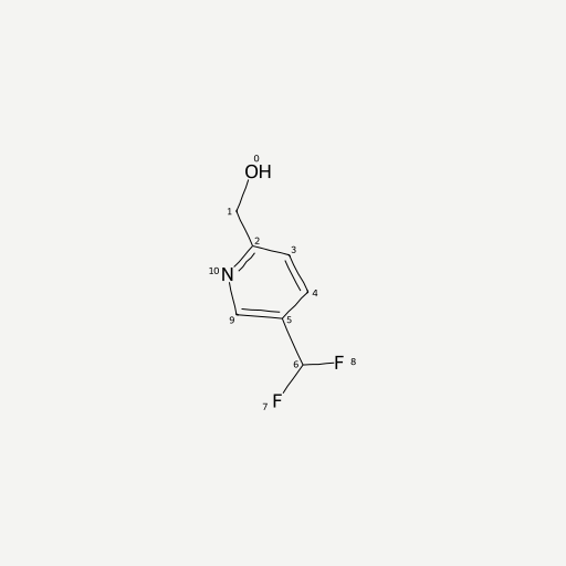 OCc1ccc(C(F)F)cn1